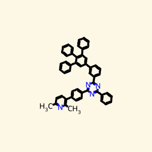 Cc1ccc(-c2ccc(-c3nc(-c4ccccc4)nc(-c4cccc(-c5cc(-c6ccccc6)c(-c6ccccc6)c(-c6ccccc6)c5)c4)n3)cc2)c(C)n1